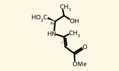 COC(=O)/C=C(\C)N[C@@H](C(=O)O)C(C)O